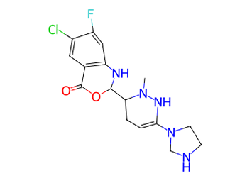 CN1NC(N2CCNC2)=CCC1C1Nc2cc(F)c(Cl)cc2C(=O)O1